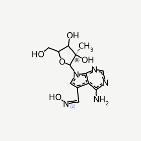 C[C@@]1(O)C(O)C(CO)OC1n1cc(/C=N\O)c2c(N)ncnc21